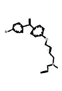 C=CCN(C)C/C=C/COc1ccc(C(=C)c2ccc(Br)cc2)cc1